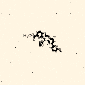 COC(=O)c1ccc2nc(Cn3ccc(-c4cccc(OCl)n4)cc3=O)n(C[C@@H]3CCO3)c2n1